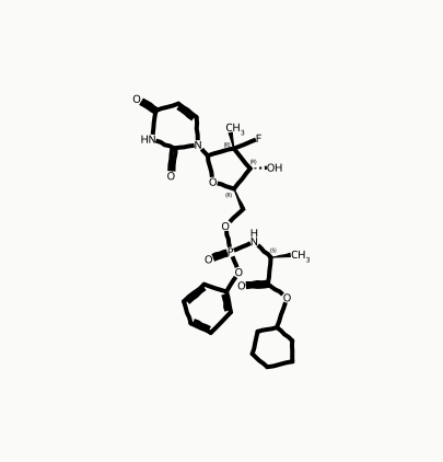 C[C@H](NP(=O)(OC[C@H]1OC(n2ccc(=O)[nH]c2=O)[C@](C)(F)[C@@H]1O)Oc1ccccc1)C(=O)OC1CCCCC1